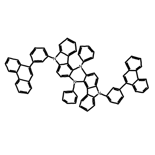 c1ccc(N2c3ccc4c(c3N(c3ccccc3)c3ccc5c(c32)c2ccccc2n5-c2cccc(-c3cc5ccccc5c5ccccc35)c2)c2ccccc2n4-c2cccc(-c3cc4ccccc4c4ccccc34)c2)cc1